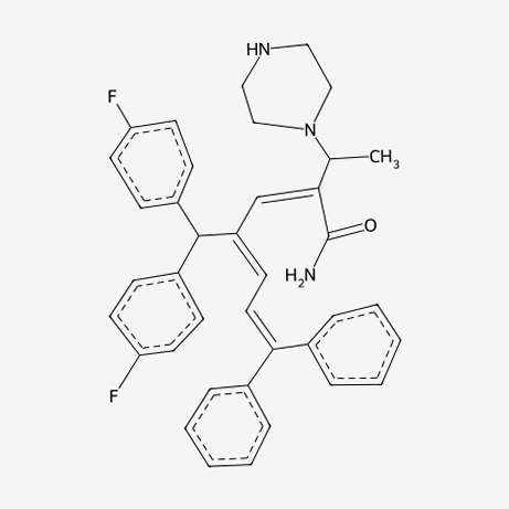 CC(C(=CC(=CC=C(c1ccccc1)c1ccccc1)C(c1ccc(F)cc1)c1ccc(F)cc1)C(N)=O)N1CCNCC1